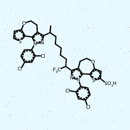 CC(CCCCCC(c1nn(-c2ccc(Cl)cc2Cl)c2c1CCOc1cc(S(=O)(=O)O)sc1-2)C(F)(F)F)c1nn(-c2ccc(Cl)cc2Cl)c2c1CCOc1ccsc1-2